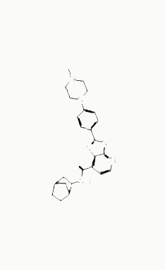 CN1CCN(c2ccc(-c3nc4c(C(=O)NC5CC6CCC5C6)ccnc4[nH]3)cc2)CC1